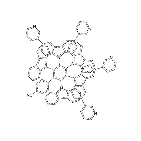 N#Cc1ccc(-c2c(-n3c4ccccc4c4ccccc43)c(-n3c4ccc(-c5cccnc5)cc4c4cc(-c5cccnc5)ccc43)c(-n3c4ccccc4c4ccccc43)c(-n3c4ccc(-c5cccnc5)cc4c4cc(-c5cccnc5)ccc43)c2-n2c3ccccc3c3ccccc32)cc1